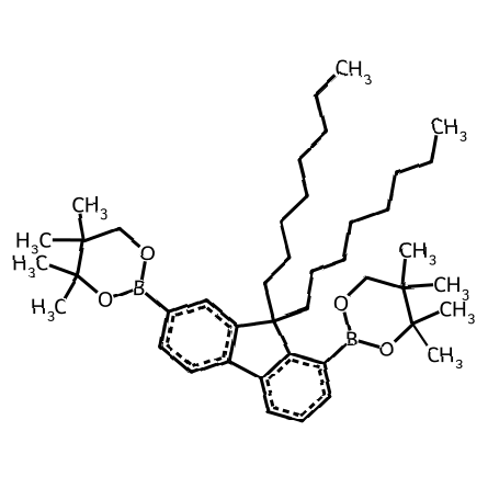 CCCCCCCCC1(CCCCCCCC)c2cc(B3OCC(C)(C)C(C)(C)O3)ccc2-c2cccc(B3OCC(C)(C)C(C)(C)O3)c21